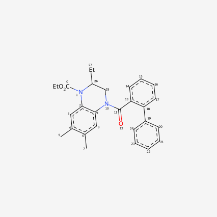 CCOC(=O)N1c2cc(C)c(C)cc2N(C(=O)c2ccccc2-c2ccccc2)CC1CC